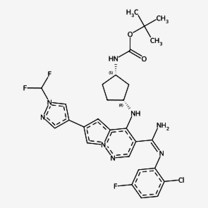 CC(C)(C)OC(=O)N[C@H]1CC[C@@H](Nc2c(C(N)=Nc3cc(F)ccc3Cl)cnn3cc(-c4cnn(C(F)F)c4)cc23)C1